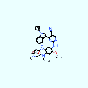 C=CC(=O)Nc1cc(Nc2ncc(C#N)c(-c3cn(C45CC(C4)C5)c4ccccc34)n2)c(OC)cc1N(C)CCN(C)C